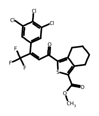 COC(=O)c1sc(C(=O)/C=C(\c2cc(Cl)c(Cl)c(Cl)c2)C(F)(F)F)c2c1CCCC2